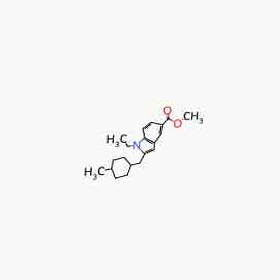 CCn1c(CC2CCC(C)CC2)cc2cc(C(=O)OC)ccc21